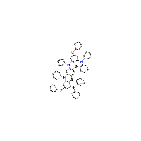 c1ccc(Oc2cc3c4c(c2)N(c2ccccc2)c2cc5c(cc2B4c2ccccc2N3c2ccccc2)B2c3ccccc3N(c3ccccc3)c3cc(Oc4ccccc4)cc(c32)N5c2ccccc2)cc1